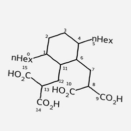 CCCCCCC1CCC(CCCCCC)C(CC(C(=O)O)C(=O)O)C1CC(C(=O)O)C(=O)O